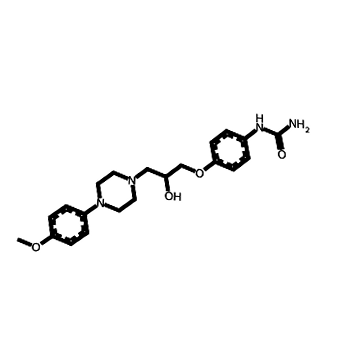 COc1ccc(N2CCN(CC(O)COc3ccc(NC(N)=O)cc3)CC2)cc1